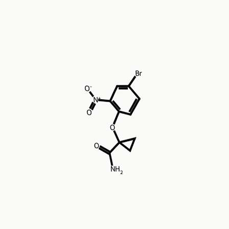 NC(=O)C1(Oc2ccc(Br)cc2[N+](=O)[O-])CC1